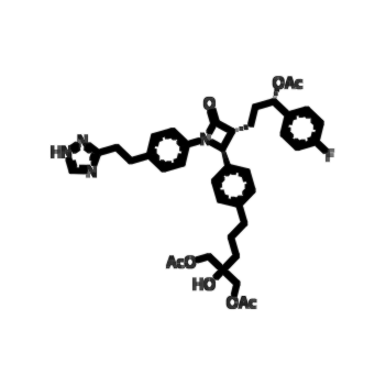 CC(=O)OCC(O)(CCCc1ccc([C@@H]2[C@@H](CC[C@H](OC(C)=O)c3ccc(F)cc3)C(=O)N2c2ccc(CCc3nc[nH]n3)cc2)cc1)COC(C)=O